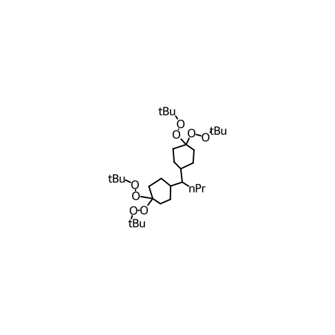 CCCC(C1CCC(OOC(C)(C)C)(OOC(C)(C)C)CC1)C1CCC(OOC(C)(C)C)(OOC(C)(C)C)CC1